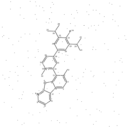 Cc1ccc2c(oc3ncccc32)c1-c1cc(-c2cc(C(C)C)c(F)c(C(C)C)c2)cc[n+]1C